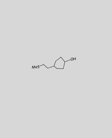 CSCCC1CCC(O)CC1